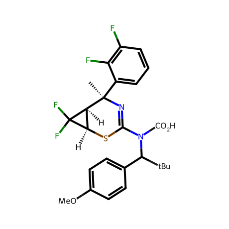 COc1ccc(C(N(C(=O)O)C2=N[C@](C)(c3cccc(F)c3F)[C@H]3[C@@H](S2)C3(F)F)C(C)(C)C)cc1